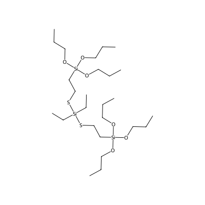 CCCO[Si](CCS[Si](CC)(CC)SCC[Si](OCCC)(OCCC)OCCC)(OCCC)OCCC